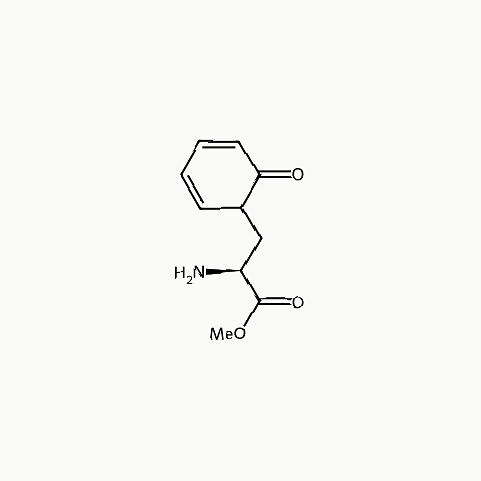 COC(=O)[C@@H](N)CC1C=CC=CC1=O